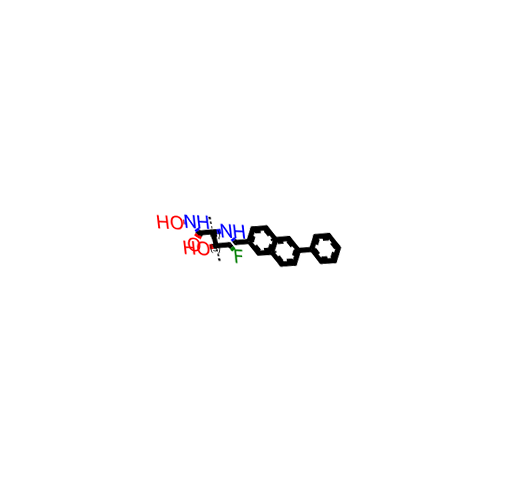 C[C@@](O)(CF)[C@](C)(NCc1ccc2cc(-c3ccccc3)ccc2c1)C(=O)NO